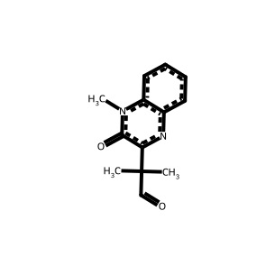 Cn1c(=O)c(C(C)(C)C=O)nc2ccccc21